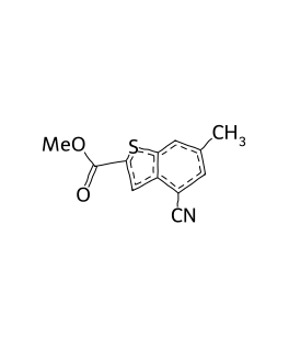 COC(=O)c1cc2c(C#N)cc(C)cc2s1